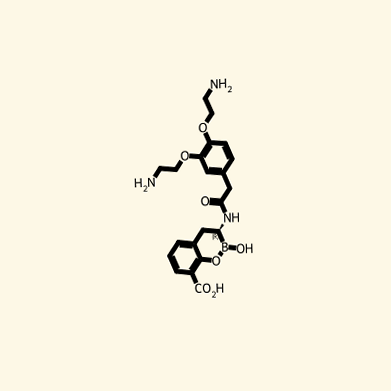 NCCOc1ccc(CC(=O)N[C@H]2Cc3cccc(C(=O)O)c3OB2O)cc1OCCN